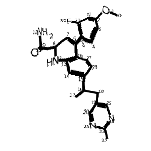 COc1ccc(C2=CC(C(N)=O)Nc3cc(C(C)Cc4cnc(C)nc4)ccc32)c(F)c1